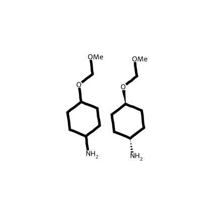 COCOC1CCC(N)CC1.COCO[C@H]1CC[C@H](N)CC1